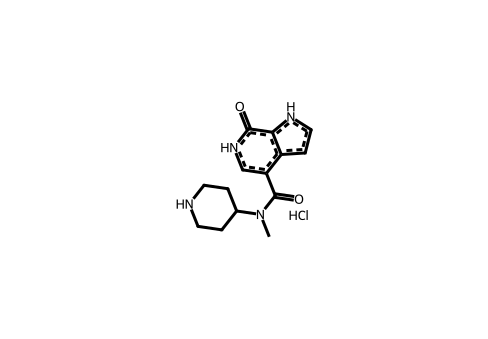 CN(C(=O)c1c[nH]c(=O)c2[nH]ccc12)C1CCNCC1.Cl